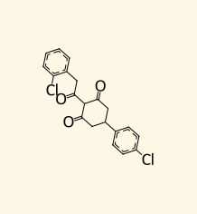 O=C(Cc1ccccc1Cl)C1C(=O)CC(c2ccc(Cl)cc2)CC1=O